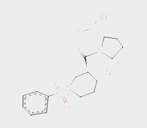 N[C@@H]1CCN(S(=O)(=O)c2ccccc2)C[C@H]1C(=O)N1CCC[C@H]1B(O)O